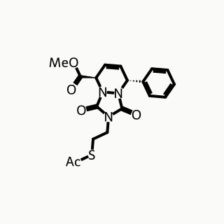 COC(=O)[C@H]1C=C[C@H](c2ccccc2)n2c(=O)n(CCSC(C)=O)c(=O)n21